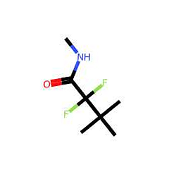 CNC(=O)C(F)(F)C(C)(C)C